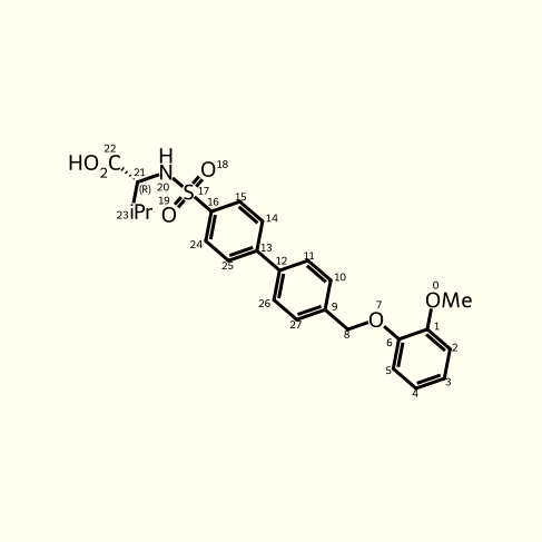 COc1ccccc1OCc1ccc(-c2ccc(S(=O)(=O)N[C@@H](C(=O)O)C(C)C)cc2)cc1